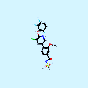 COc1cc(C(=O)NS(C)(=O)=O)ccc1-c1cnc(Oc2c(F)ccc(F)c2F)c(Cl)c1